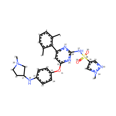 Cc1cccc(C)c1-c1cc(Oc2ccc(NC3CCN(C)C3)cc2)nc(NS(=O)(=O)c2cnn(C)c2)n1